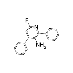 Nc1c(-c2ccccc2)cc(F)nc1-c1ccccc1